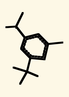 C[C](C)c1cc(C)cc(C(C)(C)C)c1